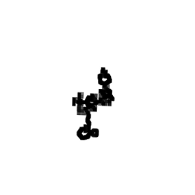 Cc1cn(C2CCN(C)CC2)nc1Nc1ncc(C(F)(F)F)c(NCCCN2CCCCC2=O)n1